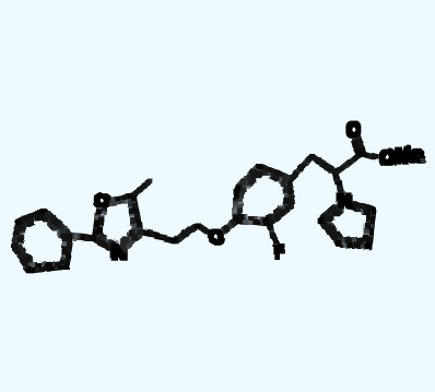 COC(=O)C(Cc1ccc(OCCc2nc(-c3ccccc3)oc2C)c(F)c1)n1cccc1